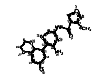 Cc1nocc1C(=O)Nc1cnc(-c2cc(Cl)cc3c2OCCO3)c(N)n1